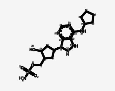 NS(=O)(=O)OCC1CC(N2NNc3c(NC4CCCC4)ncnc32)CC1O